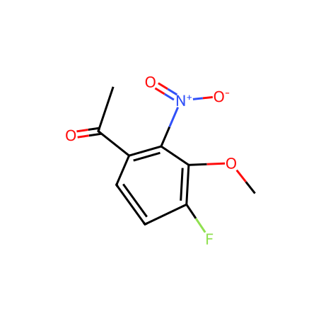 COc1c(F)ccc(C(C)=O)c1[N+](=O)[O-]